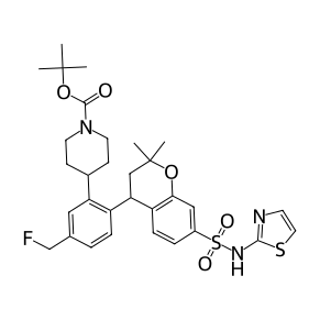 CC(C)(C)OC(=O)N1CCC(c2cc(CF)ccc2C2CC(C)(C)Oc3cc(S(=O)(=O)Nc4nccs4)ccc32)CC1